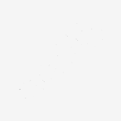 O=C1c2ccccc2C(=O)N1c1nccc2cc(O[C@H]3CCCN(Cc4ccccc4)C3)ccc12